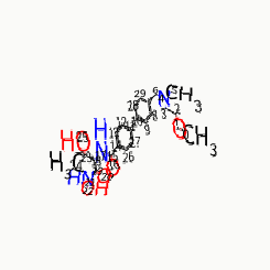 COCCN(C)Cc1ccc(-c2ccc(C(=O)N[C@H](C(=O)NO)[C@@H](C)O)cc2)cc1